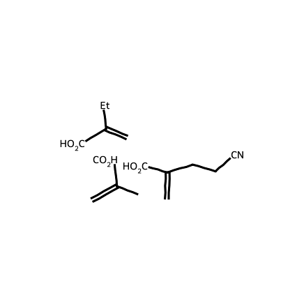 C=C(C)C(=O)O.C=C(CC)C(=O)O.C=C(CCC#N)C(=O)O